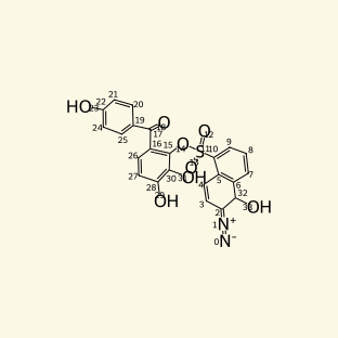 [N-]=[N+]=C1C=Cc2c(cccc2S(=O)(=O)Oc2c(C(=O)c3ccc(O)cc3)ccc(O)c2O)C1O